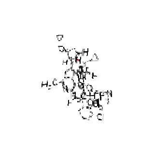 Cc1nc2c(F)c(-c3cccc(Cl)c3Cl)c(CCC#N)cc2c2c1cc([C@H]1[C@H]3C[C@H](C[C@@H]3OC3CC3)N1C(=O)C1CC1)n2[C@H]1[C@@H]2C[C@H]1N(C(=O)OC(C)(C)C)C2